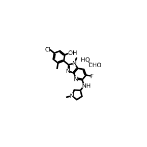 Cc1cc(Cl)cc(O)c1-c1nc2nc(NC3CCN(C)C3)c(F)cc2n1C.O=CO